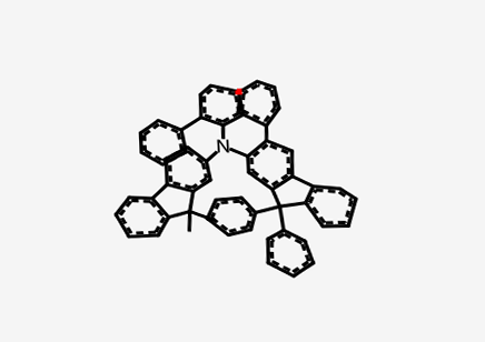 CC1(C)c2ccccc2-c2ccc(N(c3ccccc3-c3ccccc3)c3cc4c(cc3-c3ccccc3)-c3ccccc3C4(c3ccccc3)c3ccccc3)cc21